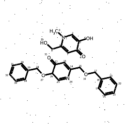 Cn1cc(O)c(=O)cc1CO.O=C1C=C(COCc2ccccc2)N=CC1OCc1ccccc1